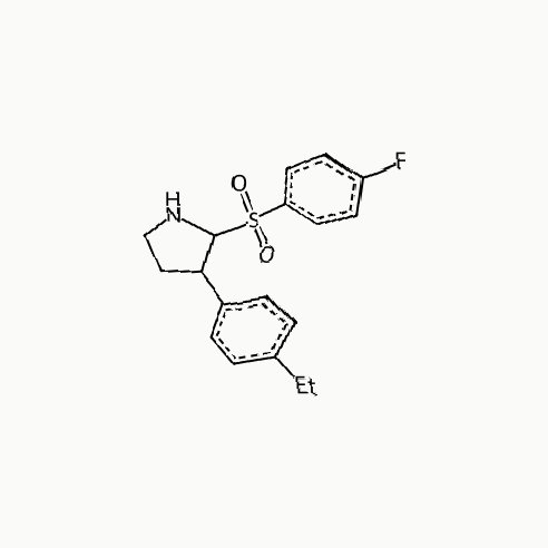 CCc1ccc(C2CCNC2S(=O)(=O)c2ccc(F)cc2)cc1